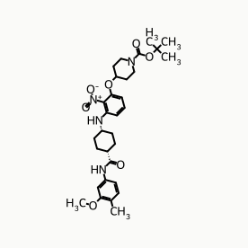 COc1cc(NC(=O)[C@H]2CC[C@@H](Nc3cccc(OC4CCN(C(=O)OC(C)(C)C)CC4)c3[N+](=O)[O-])CC2)ccc1C